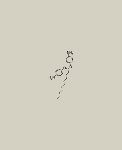 CCCCCCCCCCC(Oc1ccc(N)cc1)Oc1ccc(N)cc1